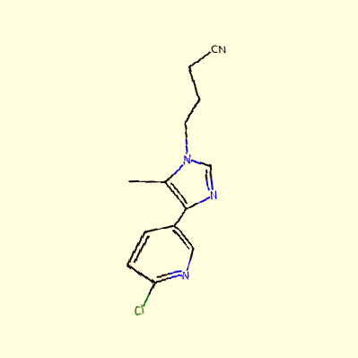 Cc1c(-c2ccc(Cl)nc2)ncn1CCCC#N